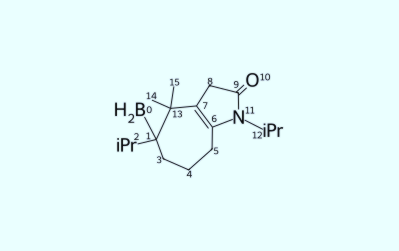 BC1(C(C)C)CCCC2=C(CC(=O)N2C(C)C)C1(C)C